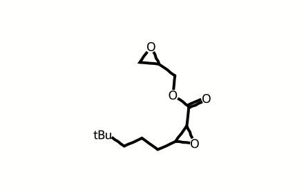 CC(C)(C)CCCC1OC1C(=O)OCC1CO1